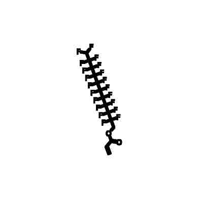 C=CC(=O)OCC(F)(F)C(F)(F)C(F)(F)C(F)(F)C(F)(F)C(F)(F)C(F)(F)C(F)(F)C(F)(F)C(F)F